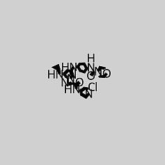 O=C(Nc1ccnc(Cl)c1)c1cnc2c(NC3CC3)cc(NC3CCC(NC(=O)N4CCOCC4)CC3)nn12